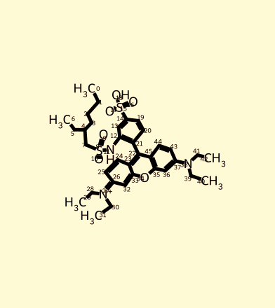 CCCCC(CC)CS(=O)(=O)Nc1cc(S(=O)(=O)O)ccc1-c1c2ccc(=[N+](CC)CC)cc-2oc2cc(N(CC)CC)ccc12